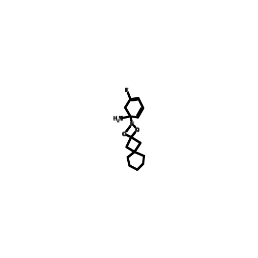 NC1(N2OC3(CC4(CCCCC4)C3)O2)C=CC=C(F)C1